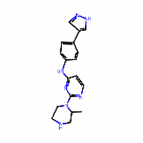 CC1CNCCN1c1nccc(Nc2ccc(-c3cn[nH]c3)cc2)n1